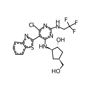 OC[C@@H]1C[C@@H](O)[C@H](Nc2nc(NCC(F)(F)F)nc(Cl)c2-c2nc3ccccc3s2)C1